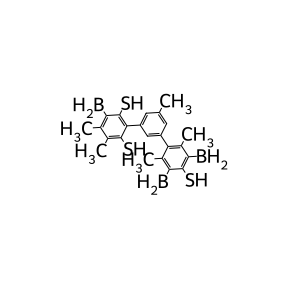 Bc1c(C)c(-c2cc(C)cc(-c3c(S)c(B)c(C)c(C)c3S)c2)c(C)c(B)c1S